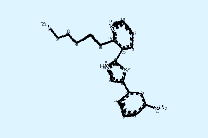 Nc1cccc(-c2c[nH]c(-c3cccnc3CCCCCI)n2)c1